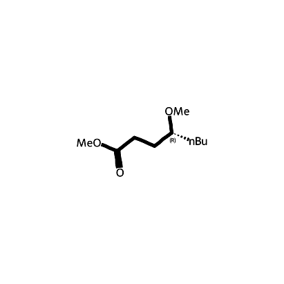 CCCC[C@H](CCC(=O)OC)OC